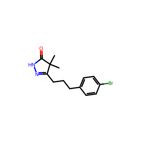 CC1(C)C(=O)NN=C1CCCc1ccc(Br)cc1